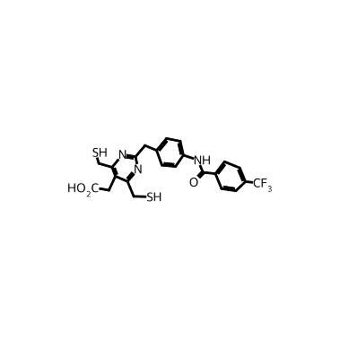 O=C(O)Cc1c(CS)nc(Cc2ccc(NC(=O)c3ccc(C(F)(F)F)cc3)cc2)nc1CS